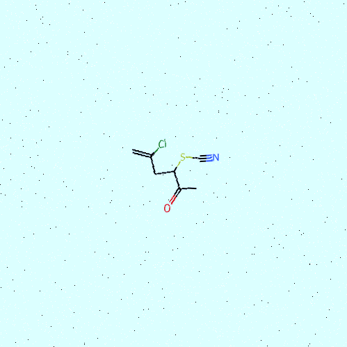 C=C(Cl)CC(SC#N)C(C)=O